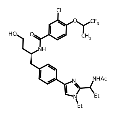 CCC(NC(C)=O)c1nc(-c2ccc(C[C@@H](CCO)NC(=O)c3ccc(OC(C)C(F)(F)F)c(Cl)c3)cc2)cn1CC